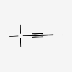 C[Si](C)(C)C#CC=O